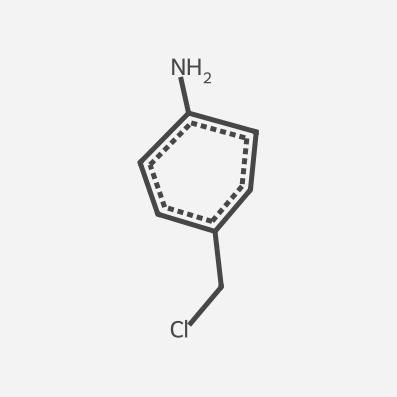 Nc1ccc(CCl)cc1